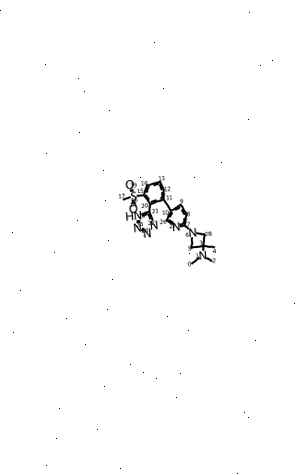 CN(C)C1(C)CN(c2ccc(-c3cccc(S(C)(=O)=O)c3-c3nnn[nH]3)cn2)C1